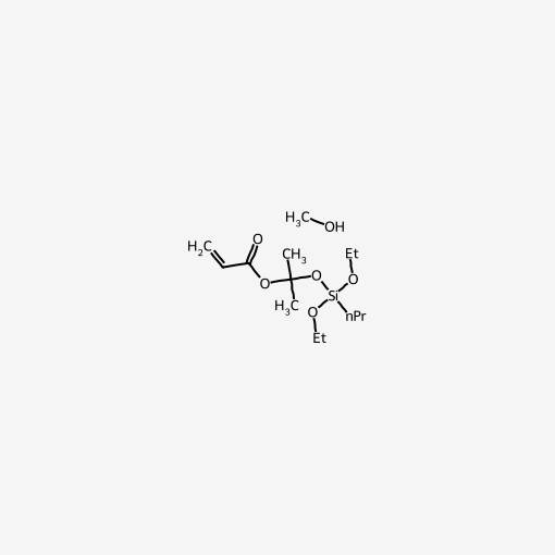 C=CC(=O)OC(C)(C)O[Si](CCC)(OCC)OCC.CO